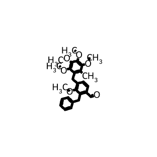 COc1c(Cc2c(C)c(OC)c(OC)c(OC)c2OC)ccc(C=O)c1Cc1ccccc1